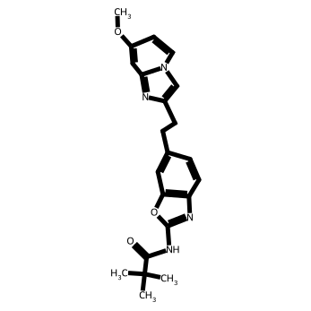 COc1ccn2cc(CCc3ccc4nc(NC(=O)C(C)(C)C)oc4c3)nc2c1